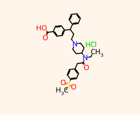 CCN(C(=O)Cc1ccc(S(C)(=O)=O)cc1)C1CCN(CCC(c2ccccc2)c2ccc(C(=O)O)cc2)CC1.Cl